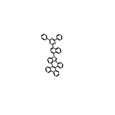 c1ccc(-c2nc(-c3ccccc3)nc(-c3ccc(-n4cc5c6c(cccc64)-c4c(c6ccccc6c6ccccc46)-c4ccccc4-5)c4ccccc34)n2)cc1